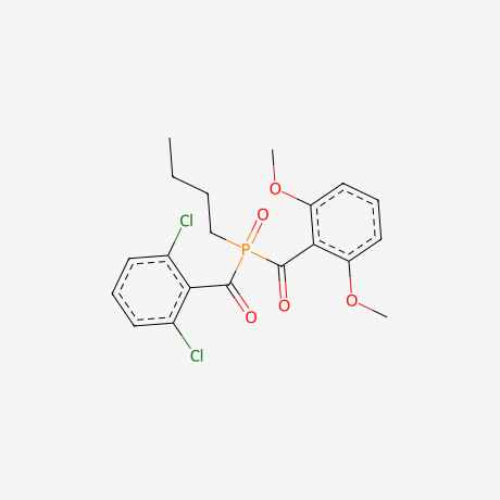 CCCCP(=O)(C(=O)c1c(Cl)cccc1Cl)C(=O)c1c(OC)cccc1OC